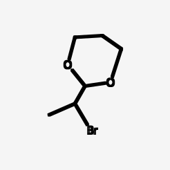 CC(Br)C1OCCCO1